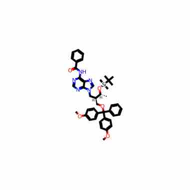 COc1ccc(C(OC[C@@H](Cn2cnc3c(NC(=O)c4ccccc4)ncnc32)[C@@H](C)O[Si](C)(C)C(C)(C)C)(c2ccccc2)c2ccc(OC)cc2)cc1